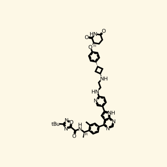 Cc1cc(-c2ncnc3[nH]c(-c4ccc(NCCN[C@H]5C[C@@H](c6ccc(O[C@H]7CCC(=O)NC7=O)cc6)C5)nc4)cc23)ccc1[C@@H](C)NC(=O)c1nc(C(C)(C)C)no1